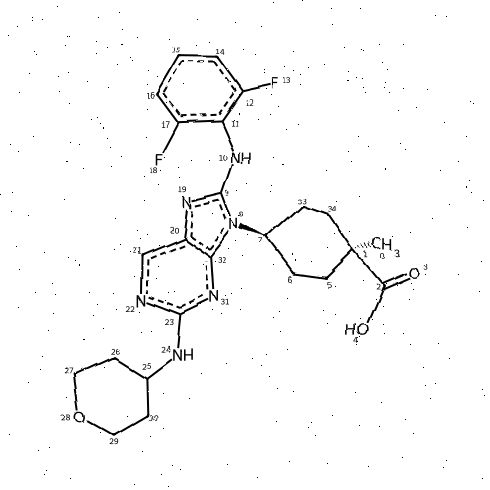 C[C@]1(C(=O)O)CC[C@@H](n2c(Nc3c(F)cccc3F)nc3cnc(NC4CCOCC4)nc32)CC1